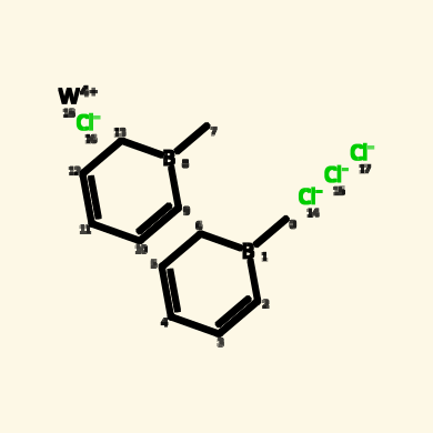 CB1C=CC=CC1.CB1C=CC=CC1.[Cl-].[Cl-].[Cl-].[Cl-].[W+4]